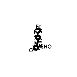 CCc1ccc(-c2ccc(C3=Nc4cc(Cl)ccc4C(C=O)O3)cc2)nc1